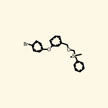 C[Si](C)(COCc1cccc(Oc2ccc(Br)cc2)c1)c1ccccc1